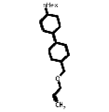 C=CCOCC1CCC(C2CCC(CCCCCC)CC2)CC1